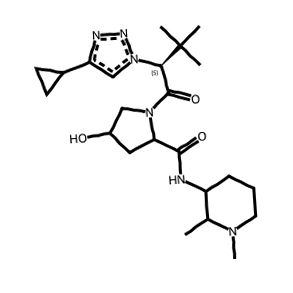 CC1C(NC(=O)C2CC(O)CN2C(=O)[C@@H](n2cc(C3CC3)nn2)C(C)(C)C)CCCN1C